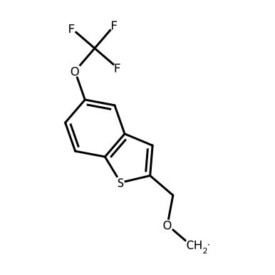 [CH2]OCc1cc2cc(OC(F)(F)F)ccc2s1